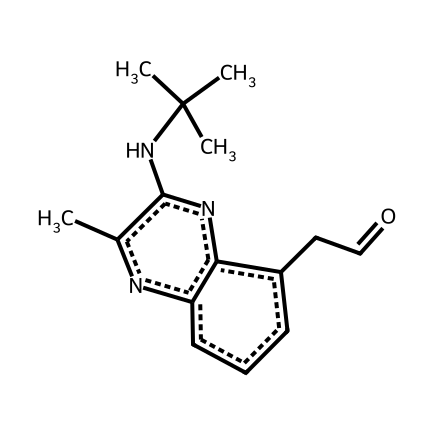 Cc1nc2cccc(CC=O)c2nc1NC(C)(C)C